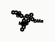 COc1ccc(C2(c3ccc(OC)cc3)c3ccccc3-c3ccc([S+](c4ccc(S(=O)(=O)c5ccc6ccccc6c5)cc4)c4ccc(S(=O)(=O)c5ccc6ccccc6c5)cc4)cc32)cc1